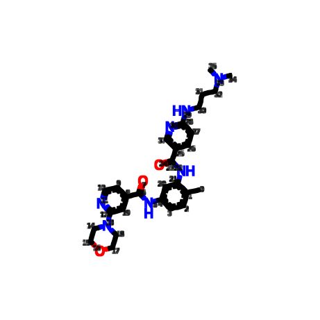 Cc1ccc(NC(=O)c2ccnc(N3CCOCC3)c2)cc1NC(=O)c1ccc(NCCCN(C)C)nc1